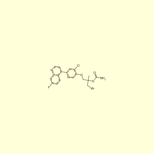 CC(C)CC(C)(COc1cnc(-c2ccnc3cc(F)ccc23)cc1Cl)OC(N)=O